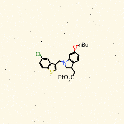 CCCCOc1ccc2c(c1)N(Cc1csc3ccc(Cl)cc13)CC2CC(=O)OCC